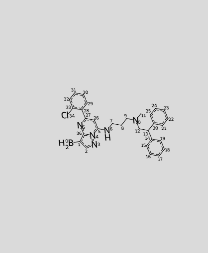 Bc1cnn2c(NCCCN(C)CC(c3ccccc3)c3ccccc3)cc(-c3ccccc3Cl)nc12